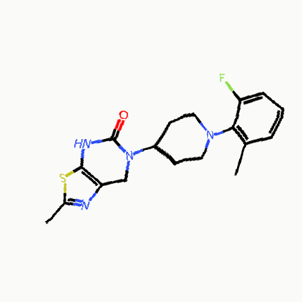 Cc1nc2c(s1)NC(=O)N(C1CCN(c3c(C)cccc3F)CC1)C2